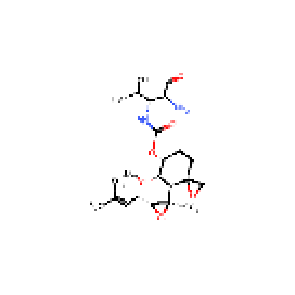 CO[C@@H]1[C@H](OC(=O)N[C@H](C(C)C)C(N)C=O)CC[C@]2(CO2)[C@H]1[C@@]1(C)O[C@@H]1CC=C(C)C